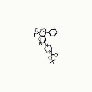 CC(C)(C)OC(=O)N1CCN(c2cc(C(=O)c3ccccc3)c(C(F)(F)F)nn2)CC1